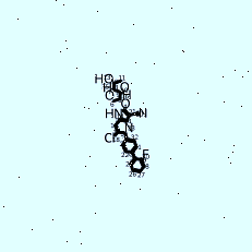 N#Cc1c(O[C@@H]2CO[C@H]3[C@@H]2OC[C@H]3O)[nH]c2cc(Cl)c(-c3ccc(-c4ccccc4F)cc3)nc12